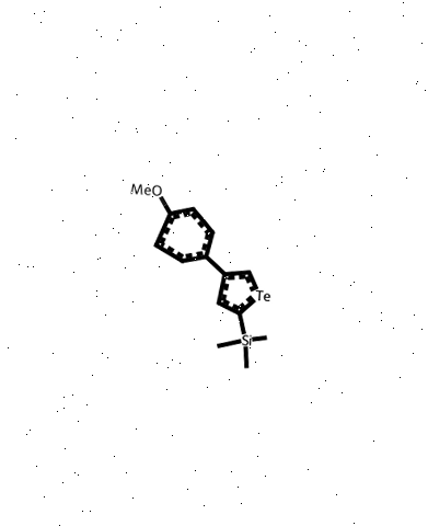 COc1ccc(-c2c[te]c([Si](C)(C)C)c2)cc1